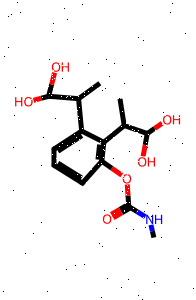 CNC(=O)Oc1cccc(C(C)C(O)O)c1C(C)C(O)O